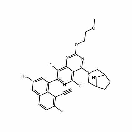 C#Cc1c(F)ccc2cc(O)cc(-c3nc(O)c4c(N5CC6CCC(C5)N6)nc(OCCOC)nc4c3F)c12